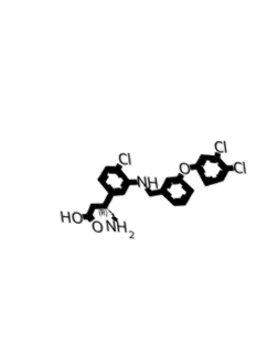 NC[C@H](CC(=O)O)c1ccc(Cl)c(NCc2cccc(Oc3ccc(Cl)c(Cl)c3)c2)c1